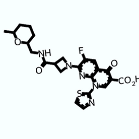 CC1CCCC(CNC(=O)C2CN(c3nc4c(cc3F)c(=O)c(C(=O)O)cn4-c3nccs3)C2)O1